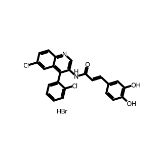 Br.O=C(C=Cc1ccc(O)c(O)c1)Nc1cnc2ccc(Cl)cc2c1-c1ccccc1Cl